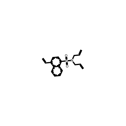 C=CCN(CC=C)S(=O)(=O)c1ccc(C=C)c2ccccc12